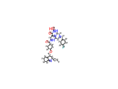 Cc1cc(COc2ccc(C(=O)NC[C@@H](C(=O)NO)N3CCN(Cc4ccc(F)cc4)CC3)cc2)c2ccccc2n1